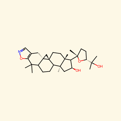 CC1(C)c2oncc2C[C@]23C[C@]24CC[C@]2(C)C([C@]5(C)CC[C@H](C(C)(C)O)O5)[C@@H](O)C[C@@]2(C)C4CCC13